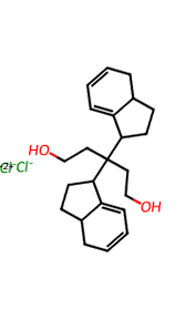 OCCC(CCO)(C1CCC2CC=CC=C21)C1CCC2CC=CC=C21.[Cl-].[Cl-].[Zr+2]